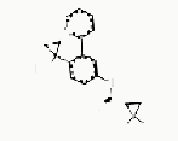 CC1(c2ccc(NC(=O)[C@@H]3CC3(F)F)cc2-c2ccccn2)CC1